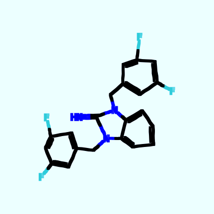 N=c1n(Cc2cc(F)cc(F)c2)c2ccccc2n1Cc1cc(F)cc(F)c1